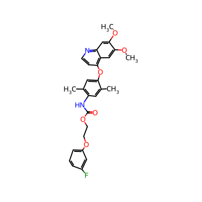 COc1cc2nccc(Oc3cc(C)c(NC(=O)OCCOc4cccc(F)c4)cc3C)c2cc1OC